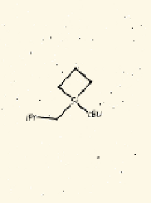 CC(C)C[Si]1(C(C)(C)C)CCC1